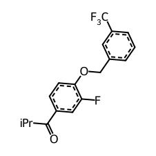 CC(C)C(=O)c1ccc(OCc2cccc(C(F)(F)F)c2)c(F)c1